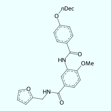 CCCCCCCCCCOc1ccc(C(=O)Nc2cc(C(=O)NCc3ccco3)ccc2OC)cc1